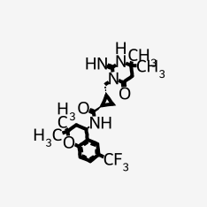 CC1(C)CC(=O)N(C[C@@H]2C[C@H]2C(=O)N[C@H]2CC(C)(C)Oc3ccc(C(F)(F)F)cc32)C(=N)N1